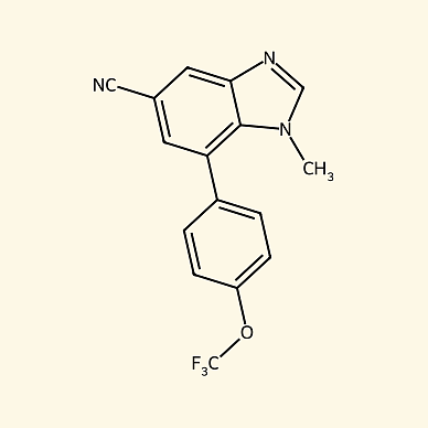 Cn1cnc2cc(C#N)cc(-c3ccc(OC(F)(F)F)cc3)c21